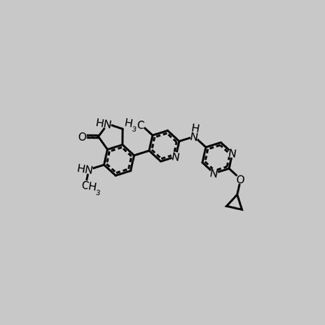 CNc1ccc(-c2cnc(Nc3cnc(OC4CC4)nc3)cc2C)c2c1C(=O)NC2